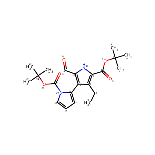 CCc1c(C(=O)OC(C)(C)C)[nH]c(C=O)c1-c1cccn1C(=O)OC(C)(C)C